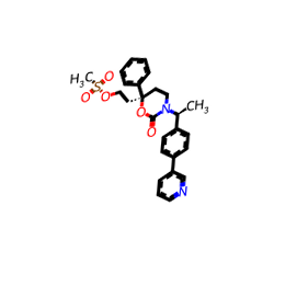 C[C@@H](c1ccc(-c2cccnc2)cc1)N1CC[C@](CCOS(C)(=O)=O)(c2ccccc2)OC1=O